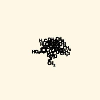 C=CCOC(=O)[C@H]1O[C@@H](Oc2ccc(CO)cc2OC)[C@H](O[Si](C)(C)C(C)(C)C)[C@@H](O[Si](C)(C)C(C)(C)C)[C@H]1O[Si](C)(C)C(C)(C)C